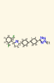 CCn1nnc(-c2ccc(-c3ccc(C4CCC(c5c(F)cccc5F)=N4)cc3)cc2)n1